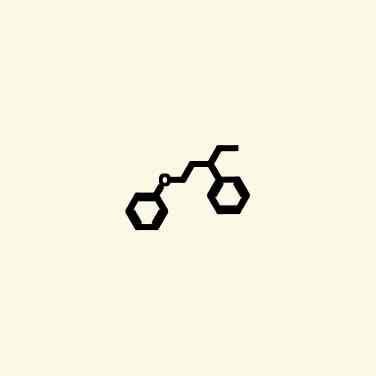 CCC(CCOc1ccccc1)c1ccccc1